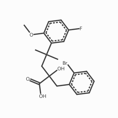 COc1ccc(F)cc1C(C)(C)CC(O)(Cc1ccccc1Br)C(=O)O